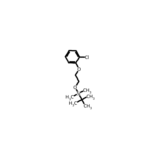 CC(C)(C)[Si](C)(C)OCCOc1ccccc1Cl